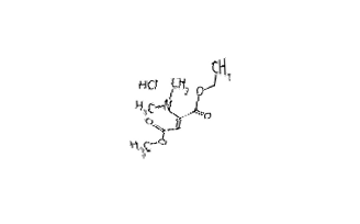 CCOC(=O)/C(=C/C(=O)OC)N(C)C.Cl